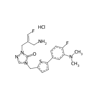 CN(C)c1cc(-c2ccc(Cn3cnn(C/C(=C/F)CN)c3=O)s2)ccc1F.Cl